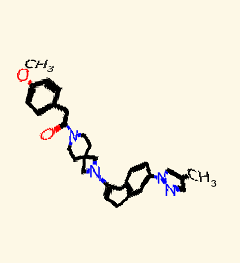 COc1ccc(CC(=O)N2CCC3(CC2)CN(C2CCc4cc(-n5cc(C)cn5)ccc42)C3)cc1